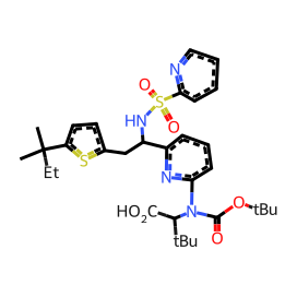 CCC(C)(C)c1ccc(CC(NS(=O)(=O)c2ccccn2)c2cccc(N(C(=O)OC(C)(C)C)C(C(=O)O)C(C)(C)C)n2)s1